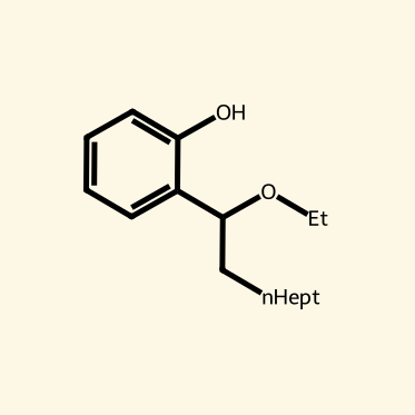 CCCCCCCCC(OCC)c1ccccc1O